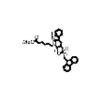 COC(=O)CCCCCNC(=O)C(Cc1c[nH]c2ccccc12)NC(=O)OCC1c2ccccc2-c2ccccc21